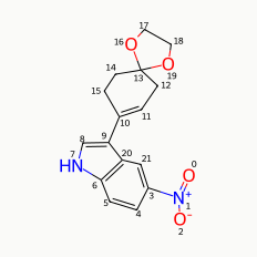 O=[N+]([O-])c1ccc2[nH]cc(C3=CCC4(CC3)OCCO4)c2c1